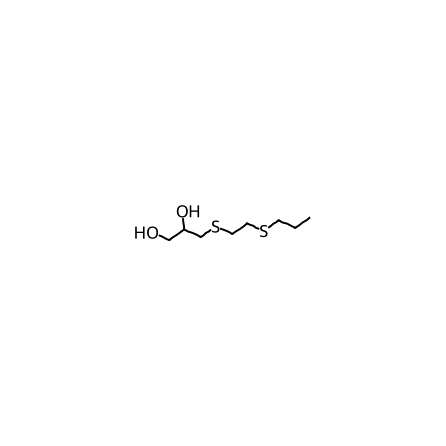 CCCSCCSCC(O)CO